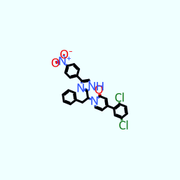 O=c1cc(-c2cc(Cl)ccc2Cl)ccn1C(Cc1ccccc1)c1nc(-c2ccc([N+](=O)[O-])cc2)c[nH]1